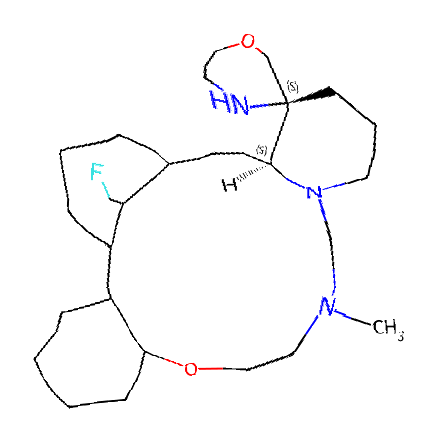 CN1CCOC2CCCCC2C2CCCC(C[C@@H]3N(CCC[C@@]34COCCN4)C1)C2F